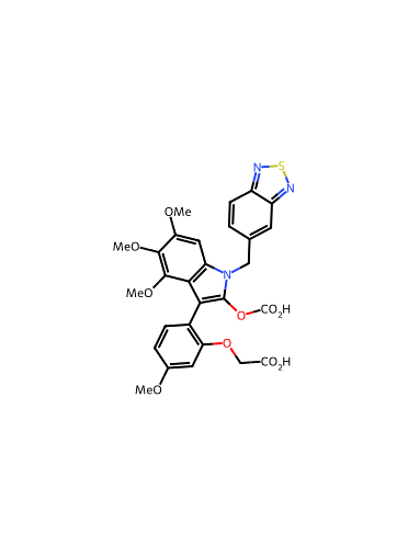 COc1ccc(-c2c(OC(=O)O)n(Cc3ccc4nsnc4c3)c3cc(OC)c(OC)c(OC)c23)c(OCC(=O)O)c1